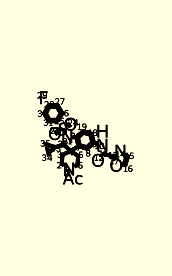 CC(=O)N1CCC2(CC1)c1cc(NC(=O)c3ncco3)ccc1N(S(=O)(=O)c1ccc(F)cc1)C2C1CC1